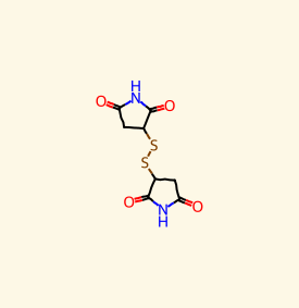 O=C1CC(SSC2CC(=O)NC2=O)C(=O)N1